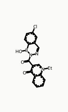 CCn1cc(C(=O)N2N=Cc3cc(Cl)ccc3B2O)c(=O)c2ccccc21